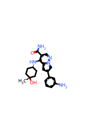 C[C@]1(O)CC[C@@H](Nc2c(C(N)=O)cnn3cc(-c4cccc(N)c4)cc23)CC1